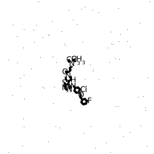 CCN(CC)C/C=C/C(=O)N1CCc2c(sc3ncnc(Nc4ccc(OCc5cccc(F)c5)c(Cl)c4)c23)C1